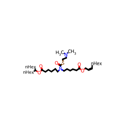 CCCCCC/C=C\COC(=O)CCCCCN(CCCCCC(=O)OC(CCCCCC)CCCCCC)C(=O)SCCN(C)C